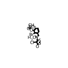 CN(Cc1cccc(OS(C)(=O)=O)c1Br)c1ssc(=O)c1Cl